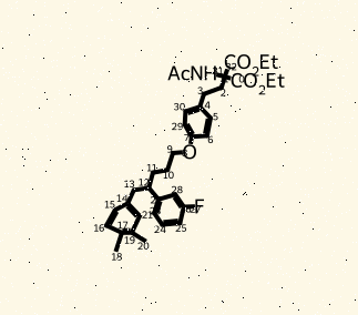 CCOC(=O)C(CCc1ccc(OCCCC(Cc2ccc(C)c(C)c2)c2cccc(F)c2)cc1)(NC(C)=O)C(=O)OCC